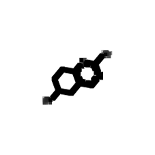 CC(C)c1ncc2c(n1)CCC(C(C)C)C2